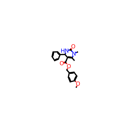 COc1ccc(COC(=O)C2=C(C)N(C)C(=O)NC2c2ccccc2)cc1